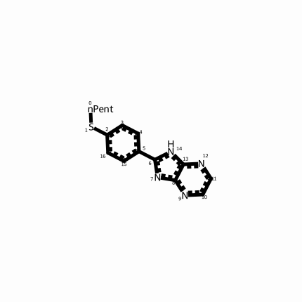 CCCCCSc1ccc(-c2nc3nccnc3[nH]2)cc1